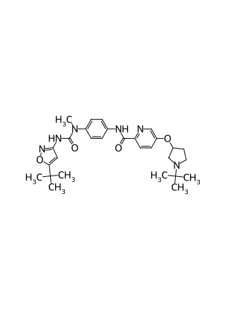 CN(C(=O)Nc1cc(C(C)(C)C)on1)c1ccc(NC(=O)c2ccc(OC3CCN(C(C)(C)C)C3)cn2)cc1